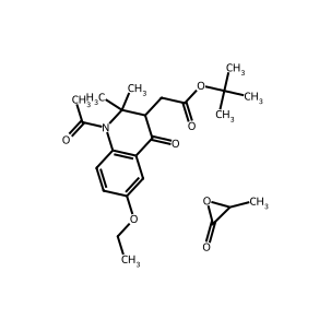 CC1OC1=O.CCOc1ccc2c(c1)C(=O)C(CC(=O)OC(C)(C)C)C(C)(C)N2C(C)=O